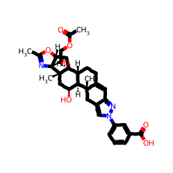 CC(=O)OCC(=O)[C@@]12N=C(C)O[C@@H]1C[C@H]1[C@@H]3CCC4=Cc5nn(-c6cccc(C(=O)O)c6)cc5C[C@]4(C)[C@H]3[C@@H](O)C[C@@]12C